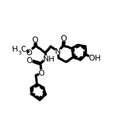 COC(=O)C(CN1CCc2cc(O)ccc2C1=O)NC(=O)OCc1ccccc1